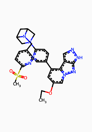 CCOc1cc(-c2ccc(N3CC4CC(C3)N4Cc3ccc(S(C)(=O)=O)nc3)nc2)c2c3cn[nH]c3nn2c1